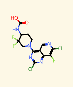 O=C(O)NC1CCN(c2nc(Cl)nc3c(F)c(Cl)ncc23)CC1(F)F